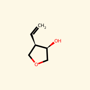 C=C[C@@H]1COC[C@@H]1O